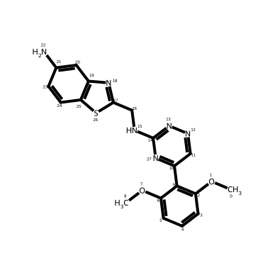 COc1cccc(OC)c1-c1cnnc(NCc2nc3cc(N)ccc3s2)n1